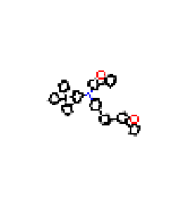 c1ccc(C2(c3ccccc3)c3ccccc3-c3cc(N(c4ccc(-c5cccc(-c6ccc7oc8ccccc8c7c6)c5)cc4)c4ccc5oc6ccccc6c5c4)ccc32)cc1